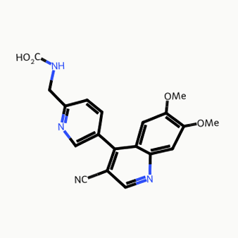 COc1cc2ncc(C#N)c(-c3ccc(CNC(=O)O)nc3)c2cc1OC